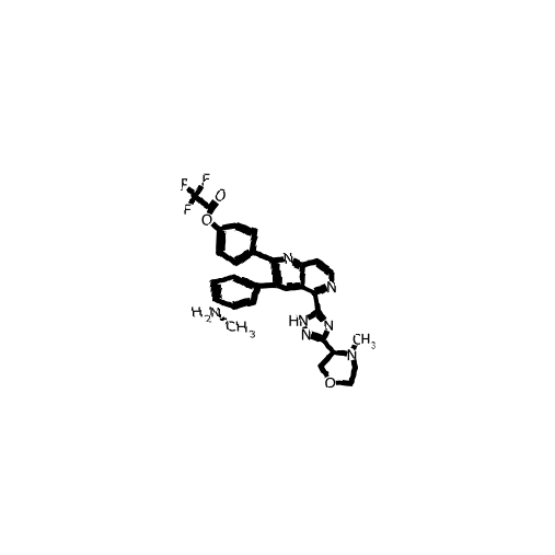 CN.CN1CCOCC1c1n[nH]c(-c2nccc3nc(-c4ccc(OC(=O)C(F)(F)F)cc4)c(-c4ccccc4)cc23)n1